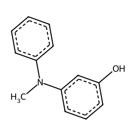 CN(c1ccccc1)c1cccc(O)c1